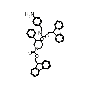 Nc1ccc(CN(C(=O)OCC2c3ccccc3-c3ccccc32)c2ccccc2C2CCCN(C(=O)OCC3c4ccccc4-c4ccccc43)C2)cc1